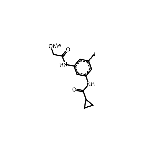 COCC(=O)Nc1cc(I)cc(NC(=O)C2CC2)c1